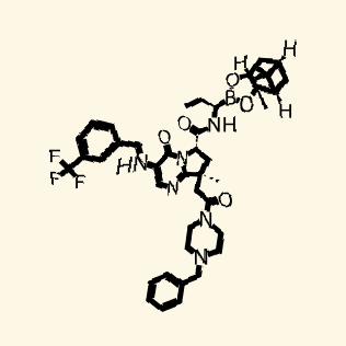 CC[C@H](NC(=O)[C@@H]1C[C@@](C)(CC(=O)N2CCN(Cc3ccccc3)CC2)c2ncc(NCc3cccc(C(F)(F)F)c3)c(=O)n21)B1O[C@@H]2C[C@@H]3C[C@@H](C3(C)C)[C@]2(C)O1